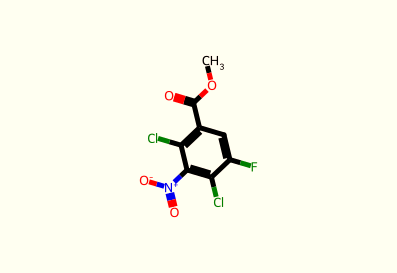 COC(=O)c1cc(F)c(Cl)c([N+](=O)[O-])c1Cl